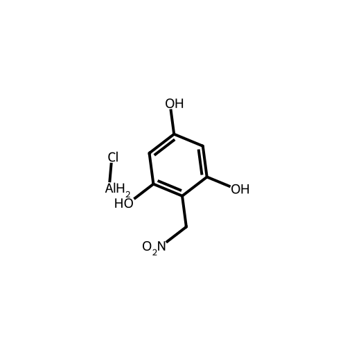 O=[N+]([O-])Cc1c(O)cc(O)cc1O.[AlH2][Cl]